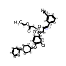 CCOC(=O)CS(=O)(=O)N(C/C=C/c1cccc(C#N)c1)c1ccc(OC2CCN(c3ccccn3)CC2)c(Cl)c1